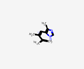 C=C(C)/C(C)=C\c1[nH]cnc1C